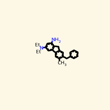 CCN(CC)c1cc(N)c2c(c1)-c1cc(C)c(Cc3ccccc3)cc1C2